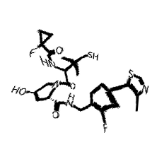 Cc1ncsc1-c1ccc(CNC(=O)[C@@H]2C[C@@H](O)CN2C(=O)C(NC(=O)C2(F)CC2)C(C)(C)S)c(F)c1